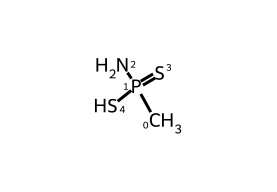 CP(N)(=S)S